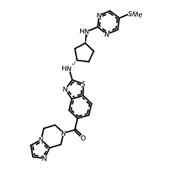 CSc1cnc(N[C@H]2CC[C@H](Nc3nc4cc(C(=O)N5CCn6ccnc6C5)ccc4s3)C2)nc1